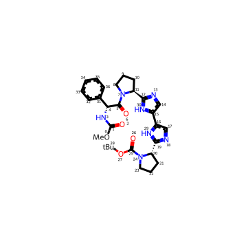 COC(=O)N[C@@H](C(=O)N1CCC[C@H]1c1ncc(-c2cnc([C@@H]3CCCN3C(=O)OC(C)(C)C)[nH]2)[nH]1)c1ccccc1